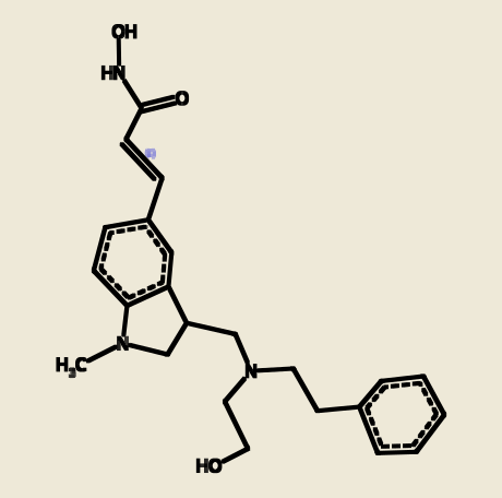 CN1CC(CN(CCO)CCc2ccccc2)c2cc(/C=C/C(=O)NO)ccc21